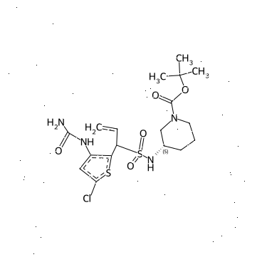 C=CC(c1sc(Cl)cc1NC(N)=O)S(=O)(=O)N[C@H]1CCCN(C(=O)OC(C)(C)C)C1